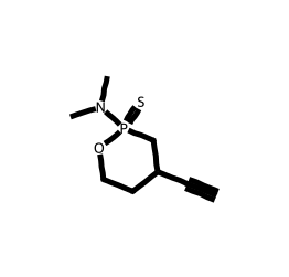 C#CC1CCOP(=S)(N(C)C)C1